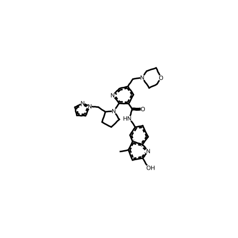 Cc1cc(O)nc2ccc(NC(=O)c3cc(CN4CCOCC4)cnc3N3CCCC3Cn3cccn3)cc12